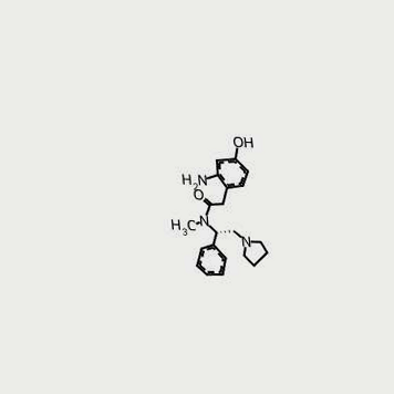 CN(C(=O)Cc1ccc(O)cc1N)[C@H](CN1CCCC1)c1ccccc1